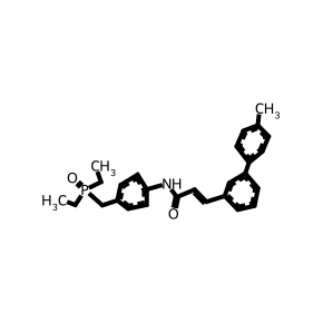 CCP(=O)(CC)Cc1ccc(NC(=O)C=Cc2cccc(-c3ccc(C)cc3)c2)cc1